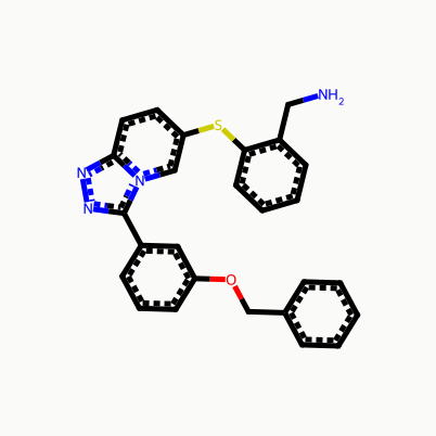 NCc1ccccc1Sc1ccc2nnc(-c3cccc(OCc4ccccc4)c3)n2c1